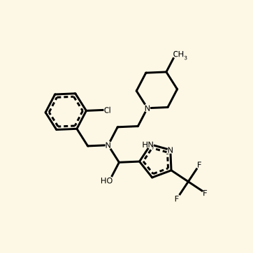 CC1CCN(CCN(Cc2ccccc2Cl)C(O)c2cc(C(F)(F)F)n[nH]2)CC1